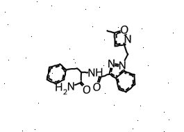 Cc1cc(Cn2nc(C(=O)NC(Cc3ccccc3)C(N)=O)c3ccccc32)no1